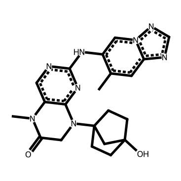 Cc1cc2ncnn2cc1Nc1ncc2c(n1)N(C13CCC(O)(CC1)C3)CC(=O)N2C